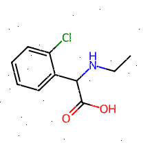 CCNC(C(=O)O)c1ccccc1Cl